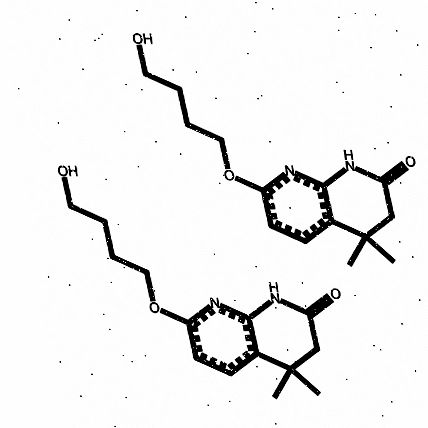 CC1(C)CC(=O)Nc2nc(OCCCCO)ccc21.CC1(C)CC(=O)Nc2nc(OCCCCO)ccc21